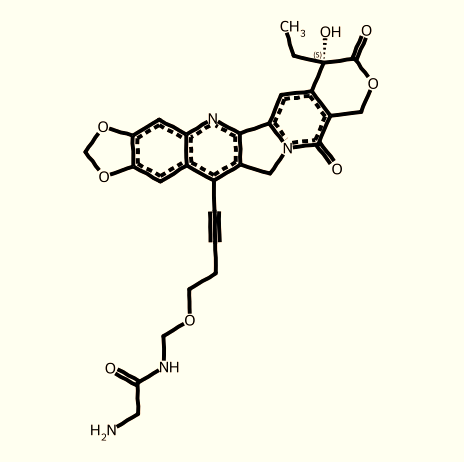 CC[C@@]1(O)C(=O)OCc2c1cc1n(c2=O)Cc2c-1nc1cc3c(cc1c2C#CCCOCNC(=O)CN)OCO3